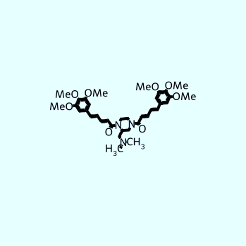 COc1cc(/C=C/C=C/C(=O)N2CCN(C(=O)/C=C/C=C/c3cc(OC)c(OC)c(OC)c3)C(CN(C)C)C2)cc(OC)c1OC